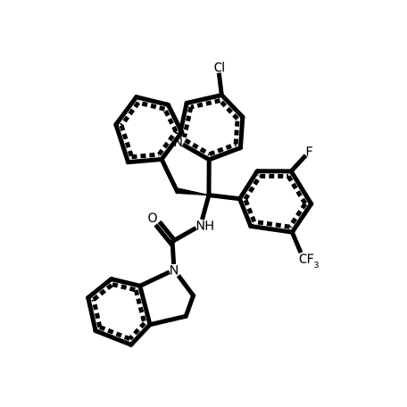 O=C(N[C@@](Cc1ccccc1)(c1cc(F)cc(C(F)(F)F)c1)c1ccc(Cl)cn1)N1CCc2ccccc21